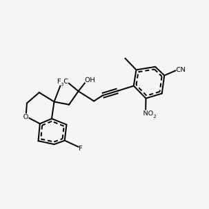 Cc1cc(C#N)cc([N+](=O)[O-])c1C#CCC(O)(CC1(C)CCOc2ccc(F)cc21)C(F)(F)F